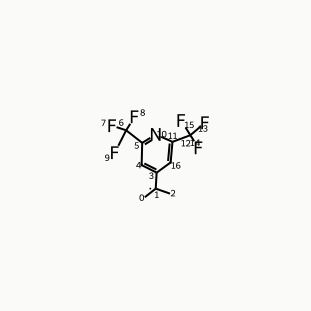 C[C](C)c1cc(C(F)(F)F)nc(C(F)(F)F)c1